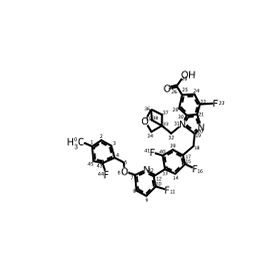 Cc1ccc(COc2ccc(F)c(-c3cc(F)c(Cc4nc5c(F)cc(C(=O)O)cc5n4CC45COC(C4)C5)cc3F)n2)c(F)c1